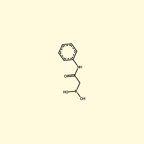 O=C(CB(O)O)Nc1ccccc1